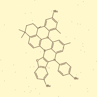 Cc1cc2c3c(c1)N(c1ccc(C(C)(C)C)cc1)c1c(oc4ccc(C(C)(C)C)cc14)B3c1ccc3c4c1N2c1c(C)cc(C(C)(C)C)cc1C4(C)CCC3(C)C